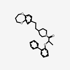 CC(Oc1ccccc1-c1ccccc1)C(=O)N1CCC(CCc2ccc3c(c2)OCCCO3)CC1